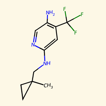 CC1(CNc2cc(C(F)(F)F)c(N)cn2)CC1